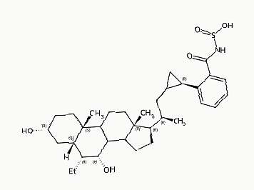 CC[C@H]1[C@@H](O)C2C3CC[C@H]([C@H](C)CC4C[C@H]4c4ccccc4C(=O)NS(=O)O)[C@@]3(C)CCC2[C@@]2(C)CC[C@@H](O)C[C@@H]12